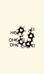 CCOc1ccc(Cc2cc([C@H]3O[C@H](CSc4ccccc4CO)[C@@H](C=O)[C@H](C=O)[C@H]3C=O)ccc2Cl)cc1